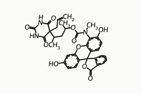 C=CCC1(C(C)CC(C)OC(=O)N(C)c2c(O)ccc3c2Oc2cc(O)ccc2C32OC(=O)c3ccccc32)C(=O)NC(=O)NC1=O